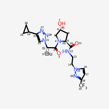 CC(C)(C)[C@@H](C(=O)N1C[C@H](O)C[C@H]1C(=O)NCCn1ccc(C(F)(F)F)n1)n1cc(C2CC2)nn1